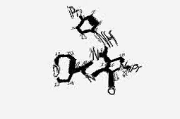 CC(C)c1ccc(Nc2nc(C3=CCOCC3)nc3c2CN(C(C)C)C3=O)cc1